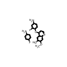 COc1cc2nccc(Oc3ccc(N)cc3F)c2cc1O.Nc1ccc(F)cc1